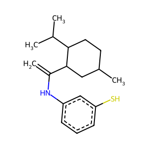 C=C(Nc1cccc(S)c1)C1CC(C)CCC1C(C)C